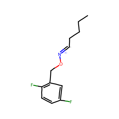 CCCC/[C]=N/OCc1cc(F)ccc1F